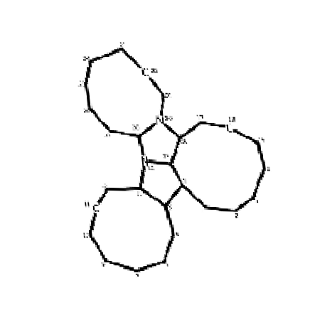 C1CCCC2C3CCCCCCCC3N3C2C(CCC1)N1CCCCCCCC13